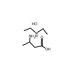 CC(N)CC(=O)O.CCNCC.Cl